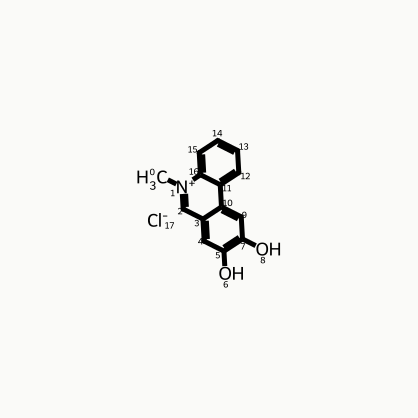 C[n+]1cc2cc(O)c(O)cc2c2ccccc21.[Cl-]